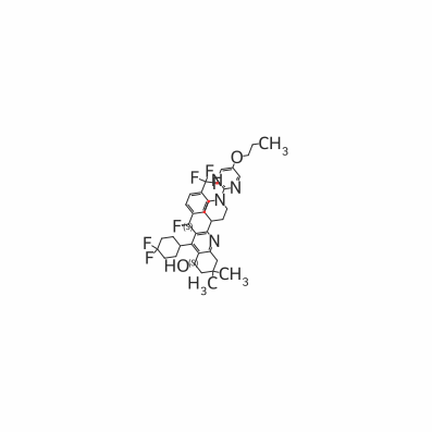 CCCOc1cnc(N2CCC(c3nc4c(c(C5CCC(F)(F)CC5)c3[C@@H](F)c3ccc(C(F)(F)F)cc3)[C@@H](O)CC(C)(C)C4)CC2)nc1